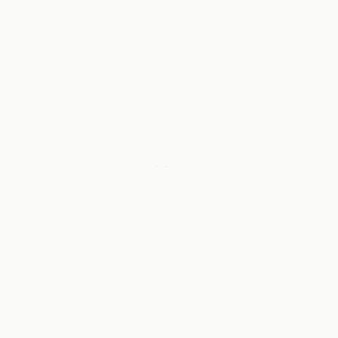 CCCCCCCCC=CCCCCCCCC(=O)[O-].[Co+]